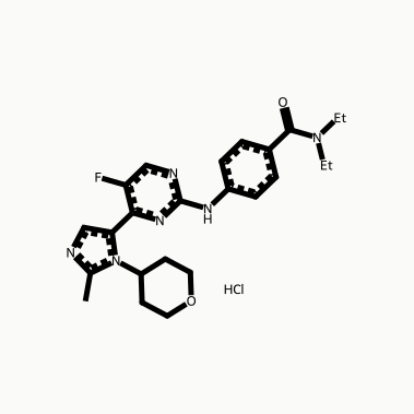 CCN(CC)C(=O)c1ccc(Nc2ncc(F)c(-c3cnc(C)n3C3CCOCC3)n2)cc1.Cl